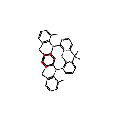 CC1=CC=C=C=C1P(c1cccc2c1Oc1c(P(c3ccccc3C)c3c(C)cccc3C)cccc1C2(C)C)c1c(C)cccc1C